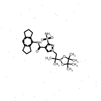 CC(C)(Cn1cc(C(=O)Nc2c3c(cc4c2CCC4)CCC3)c(S(N)(=O)=O)n1)B1OC(C)(C)C(C)(C)O1